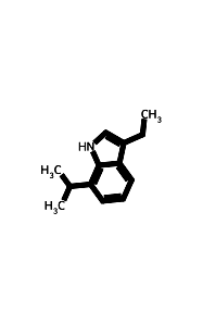 CCc1c[nH]c2c(C(C)C)cccc12